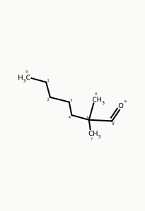 CCCCCC(C)(C)[C]=O